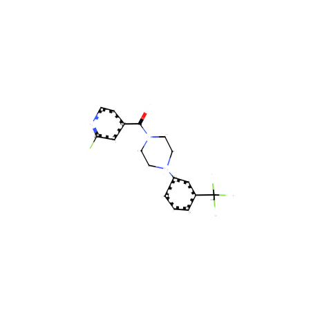 O=C(c1ccnc(F)c1)N1CCN(c2cccc(C(F)(F)F)c2)CC1